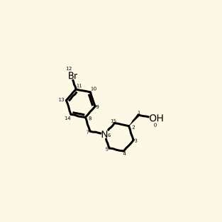 OC[C@H]1CCCN(Cc2ccc(Br)cc2)C1